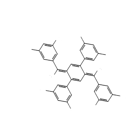 N#C/C(c1cc(C(F)(F)F)cc(C(F)(F)F)c1)=c1/cc(-c2cc(C(F)(F)F)cc(C(F)(F)F)c2)/c(=C(\C#N)c2cc(C(F)(F)F)cc(C(F)(F)F)c2)cc1-c1cc(C(F)(F)F)cc(C(F)(F)F)c1